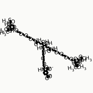 CC(=O)N[C@@H]1CO[C@H](COCCOCCOCCOCCNC(=O)CCC(O)C(NC(=O)COCCOCCOCCNc2ccc([N+](=O)[O-])cc2[N+](=O)[O-])C(O)CCC(=O)NCCOCCOCCOCCOC[C@H]2OC[C@@H](NC(C)=O)[C@H]3OC(C)(C)O[C@H]32)[C@@H]2OC(C)(C)O[C@@H]21